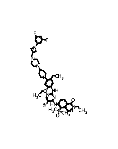 CCOc1cc(N2CCC(N3CCN(CC4CN(c5cc(F)cc(F)c5)C4)CC3)CC2)c(CC)cc1Nc1ncc(Br)c(Nc2ccc3c(=O)n(CC)ncc3c2P(C)(C)=O)n1